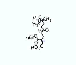 CCCCOC(=O)/C(=C\C(=O)O)CC[PH](=O)CC[N+](C)(C)C